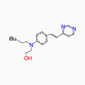 CCC(C)CCN(CCO)c1ccc(/C=C/c2ccncn2)cc1